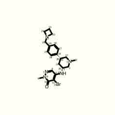 CN1C[C@H](Nc2cnn(C)c(=O)c2Br)C[C@H](c2ccc(CN3CCC3)cc2)C1